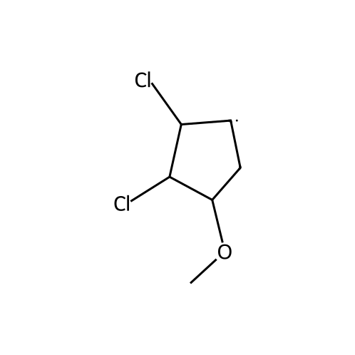 COC1C[CH]C(Cl)C1Cl